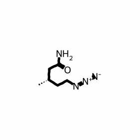 C[C@@H](CCN=[N+]=[N-])CC(N)=O